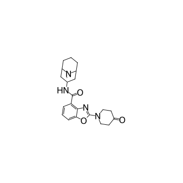 CN1C2CCCC1CC(NC(=O)c1cccc3oc(N4CCC(=O)CC4)nc13)C2